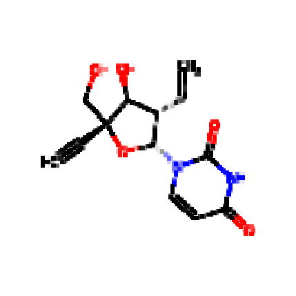 C#C[C@]1(CO)O[C@@H](n2ccc(=O)[nH]c2=O)[C@@H](C=C)[C@@H]1O